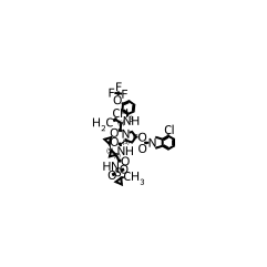 C=C(C)[C@H](Nc1cccc(OC(F)(F)F)c1)C(=O)N1C[C@H](OC(=O)N2Cc3cccc(Cl)c3C2)C[C@H]1C(=O)N[C@]1(C(=O)NS(=O)(=O)C2(C)CC2)C[C@H]1C1CC1